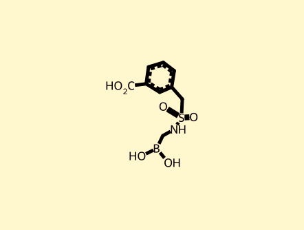 O=C(O)c1cccc(CS(=O)(=O)NCB(O)O)c1